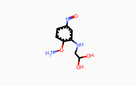 NOc1ccc(N=O)cc1NCC(O)O